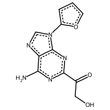 Nc1nc(C(=O)CO)nc2c1ncn2-c1ccco1